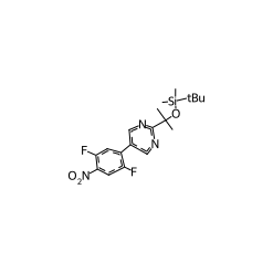 CC(C)(O[Si](C)(C)C(C)(C)C)c1ncc(-c2cc(F)c([N+](=O)[O-])cc2F)cn1